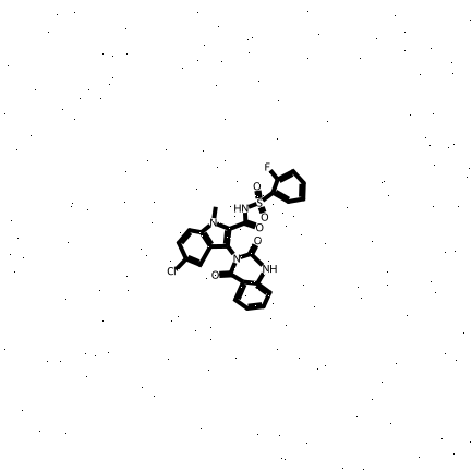 Cn1c(C(=O)NS(=O)(=O)c2ccccc2F)c(-n2c(=O)[nH]c3ccccc3c2=O)c2cc(Cl)ccc21